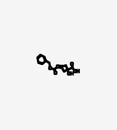 O=C(OCc1ccccc1)ON1CC(O)(C(=O)O)C1